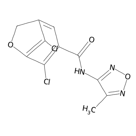 Cc1nonc1NC(=O)c1cc2c(Cl)c(c1Cl)OC2